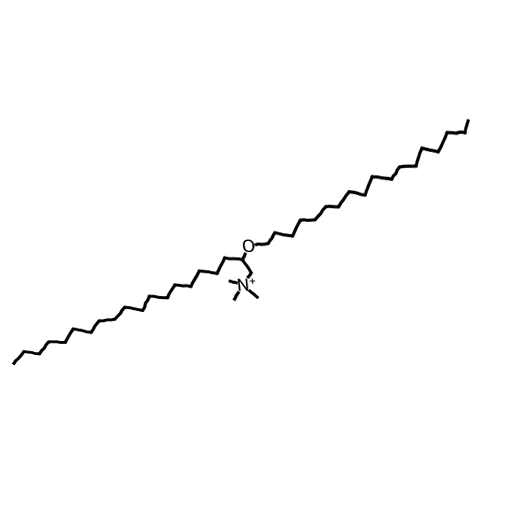 CCCCCCCCCCCCCCCCCCOC(CCCCCCCCCCCCCCCCCC)C[N+](C)(C)C